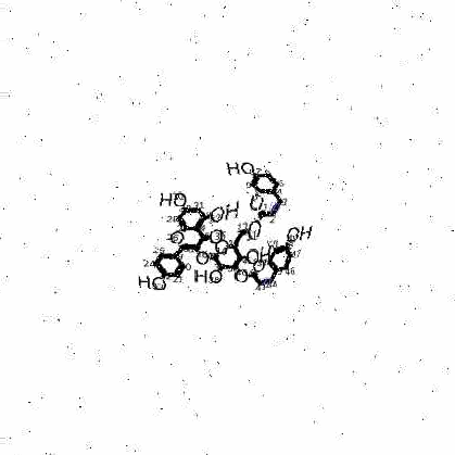 O=C(/C=C\c1ccc(O)cc1)OCC1O[C@@H](Oc2c(-c3ccc(O)cc3)oc3cc(O)cc(O)c3c2=O)C(O)C(OC(=O)/C=C\c2ccc(O)cc2)[C@@H]1O